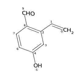 C=Cc1cc(O)ccc1C=O